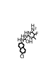 CC1NC(NC(=O)Nc2ccc3cc(Cl)ccc3c2)NC(N)C1F